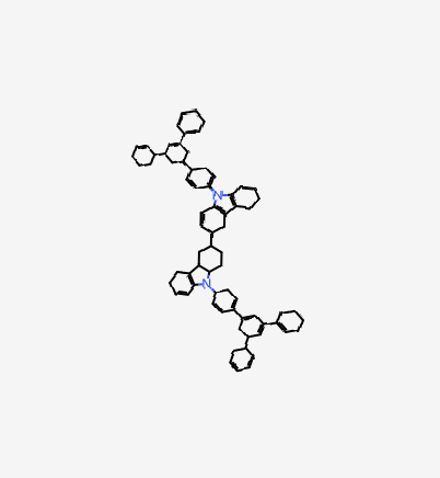 C1=CCC(C2C=C(C3=CCCCC3)C=C(C3=CCC(N4C5=C(CCC=C5)C5CC(C6C=Cc7c(c8c(n7C7=CCC(C9CC(C%10=CCCC=C%10)=CC(C%10C=CCCC%10)C9)C=C7)C=CCC8)C6)CCC54)C=C3)C2)C=C1